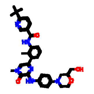 Cc1c(NC(=O)c2ccc(C(C)(C)C)nc2)cccc1-c1cn(C)c(=O)c(Nc2ccc(N3CCOC(CO)C3)cc2)n1